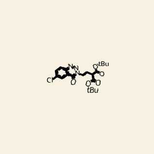 CC(C)(C)OC(=O)C(CCn1nnc2ccc(Cl)cc2c1=O)C(=O)OC(C)(C)C